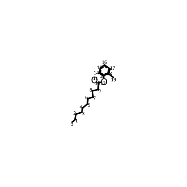 CCCCCCCCCCC(=O)Oc1ccccc1C